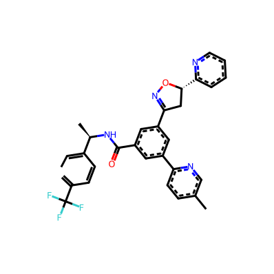 C=C(/C=C\C(=C/C)[C@@H](C)NC(=O)c1cc(C2=NO[C@H](c3ccccn3)C2)cc(-c2ccc(C)cn2)c1)C(F)(F)F